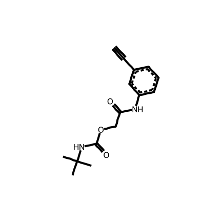 C#Cc1cccc(NC(=O)COC(=O)NC(C)(C)C)c1